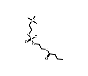 CCCC(=O)OCCOP(=O)([O-])OCC[N+](C)(C)C